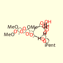 CCCC(C)[C@H]1O[C@]2(C=C[C@@H]1C)C[C@@H]1C[C@@H](C/C=C(\C)[C@@H](OC3C[C@H](OC)[C@@H](O[C@H]4C[C@H](OC)[C@H](OCOC)[C@H](C)O4)[C@H](C)O3)C(C)/C=C/C=C3\CO[C@@H]4[C@H](O)C(C)=C[C@@H](C(=O)O1)[C@]34O)O2